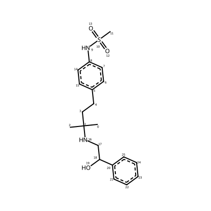 CC(C)(CCc1ccc(NS(C)(=O)=O)cc1)NCC(O)c1ccccc1